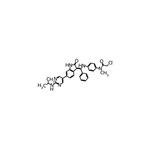 CC(C)Nc1ncc(-c2ccc3c(c2)NC(=O)/C3=C(\Nc2ccc(N(C)C(=O)CCl)cc2)c2ccccc2)cn1